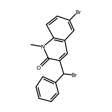 Cn1c(=O)c(C(Br)c2ccccc2)cc2cc(Br)ccc21